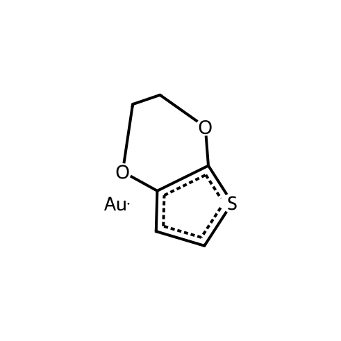 [Au].c1cc2c(s1)OCCO2